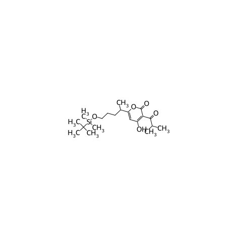 CC(C)C(=O)c1c(O)cc(C(C)CCCO[Si](C)(C)C(C)(C)C)oc1=O